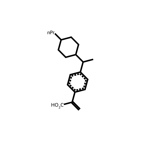 C=C(C(=O)O)c1ccc(C(C)C2CCC(CCC)CC2)cc1